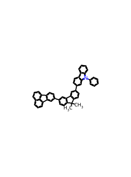 CC1(C)c2ccc(-c3ccc4c(c3)-c3cccc5cccc-4c35)cc2-c2cc(-c3ccc4c5ccccc5n(-c5ccccc5)c4c3)ccc21